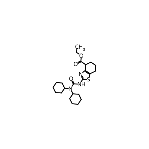 CCOC(=O)C1CCCc2sc(NC(=O)N(C3CCCCC3)C3CCCCC3)nc21